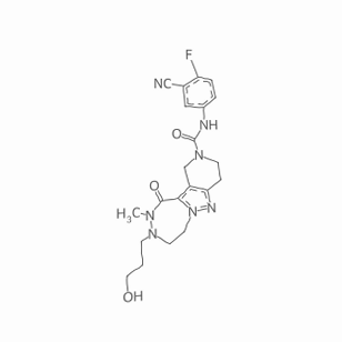 CN1C(=O)c2c3c(nn2CCN1CCCO)CCN(C(=O)Nc1ccc(F)c(C#N)c1)C3